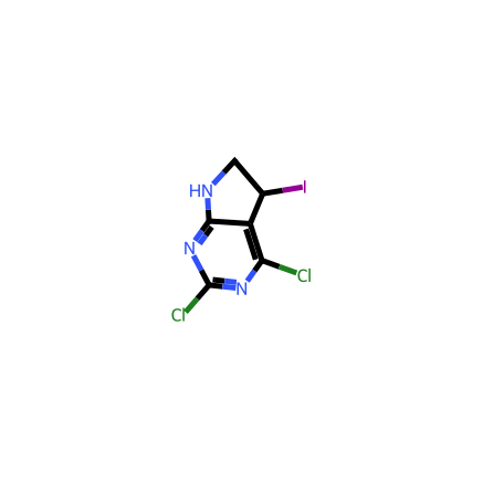 Clc1nc(Cl)c2c(n1)NCC2I